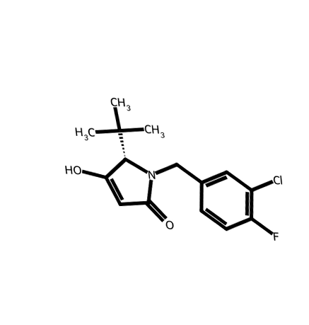 CC(C)(C)[C@H]1C(O)=CC(=O)N1Cc1ccc(F)c(Cl)c1